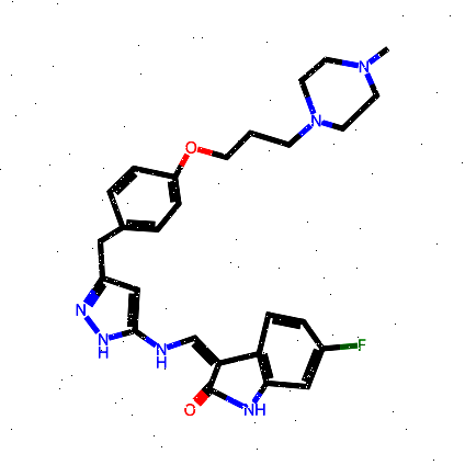 CN1CCN(CCCOc2ccc(Cc3cc(N/C=C4\C(=O)Nc5cc(F)ccc54)[nH]n3)cc2)CC1